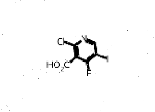 O=C(O)c1c(Cl)ncc(I)c1F